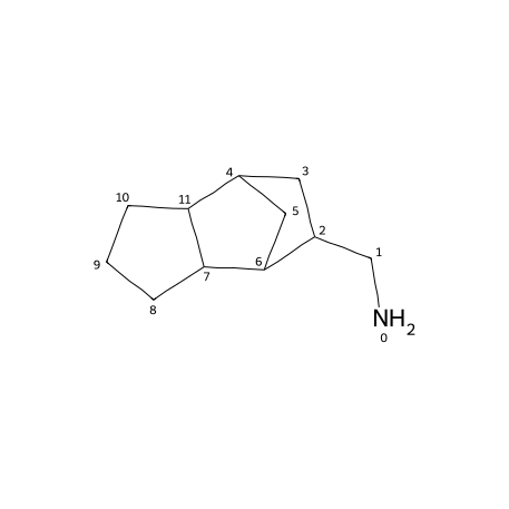 NCC1CC2CC1C1CCCC21